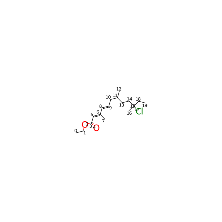 CCOC(=O)/C=C(C)/C=C/CC(C)CCC(C)(Cl)CC